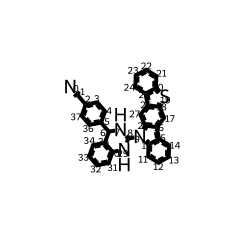 N#Cc1ccc(C2NC(n3c4ccccc4c4cc5sc6ccccc6c5cc43)Nc3ccccc32)cc1